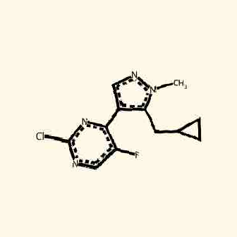 Cn1ncc(-c2nc(Cl)ncc2F)c1CC1CC1